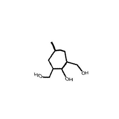 CC1CC(CO)C(O)C(CO)C1